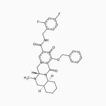 CN1C[C@@H]2CCCC[C@@H]2N2C(=O)c3c(OCc4ccccc4)c(=O)c(C(=O)NCc4ccc(F)cc4F)cn3C[C@@H]12